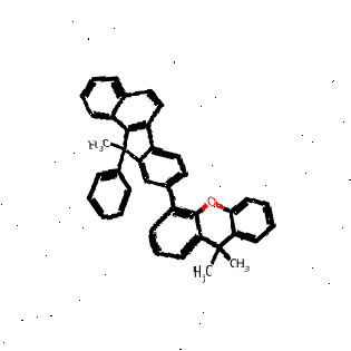 CC1(C)c2ccccc2Oc2c(-c3ccc4c(c3)C(C)(c3ccccc3)c3c-4ccc4ccccc34)cccc21